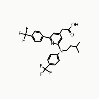 CC(C)CCN(c1ccc(C(F)(F)F)cc1)c1cc(CC(=O)O)cc(-c2ccc(C(F)(F)F)cc2)n1